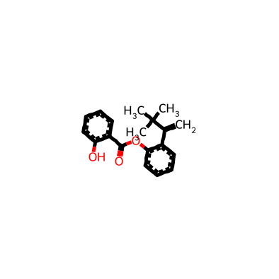 C=C(c1ccccc1OC(=O)c1ccccc1O)C(C)(C)C